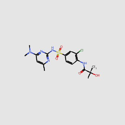 Cc1cc(N(C)C)nc(NS(=O)(=O)c2ccc(NC(=O)[C@@](C)(O)C(F)(F)F)c(Cl)c2)n1